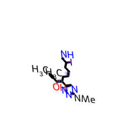 CC#C/C(O)=C(/c1cnc(NC)nn1)C(C)/C=C\CC(I)C=N